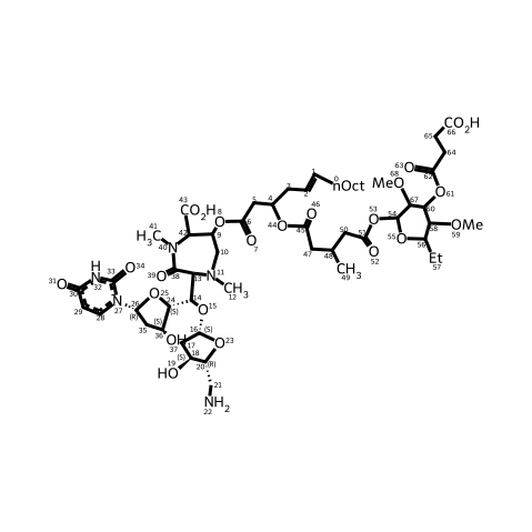 CCCCCCCCC=CCC(CC(=O)OC1CN(C)C(C(O[C@H]2C[C@H](O)[C@@H](CN)O2)[C@H]2O[C@@H](n3ccc(=O)[nH]c3=O)C[C@@H]2O)C(=O)N(C)C1C(=O)O)OC(=O)CC(C)CC(=O)OC1OC(CC)C(OC)C(OC(=O)CCC(=O)O)C1OC